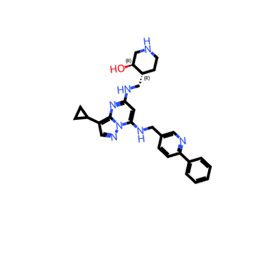 O[C@H]1CNCC[C@@H]1CNc1cc(NCc2ccc(-c3ccccc3)nc2)n2ncc(C3CC3)c2n1